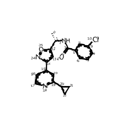 C[C@H](NC(=O)c1cccc(Cl)c1)c1cc(-c2ccnc(C3CC3)c2)no1